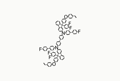 C=Cc1ccc(Oc2ccc(C3(c4ccc(F)c(F)c4)c4ccccc4-c4ccc(N(c5ccc(-c6ccc(F)cc6)cc5)c5ccc(-c6ccc(N(c7ccc(-c8ccc(F)cc8)cc7)c7ccc8c(c7)C(c7ccc(Oc9ccc(C=C)cc9)cc7)(c7ccc(F)c(F)c7)c7ccccc7-8)cc6)cc5)cc43)cc2)cc1